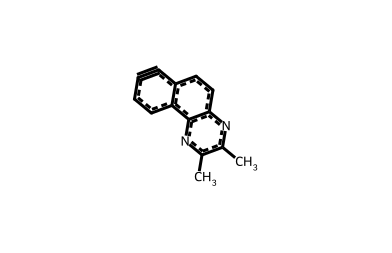 Cc1nc2ccc3c#cccc3c2nc1C